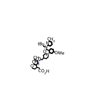 C=N/C(=C\C1=C(C)OCCC1CC(=O)O)OCC1CCN(c2cc(OC)ccc2C(=O)N(CC(C)(C)C)c2cccc(C)n2)CC1